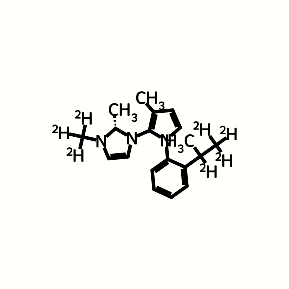 [2H]C([2H])([2H])N1C=CN(c2c(C)ccn2-c2ccccc2C([2H])(C)C([2H])([2H])[2H])[C@H]1C